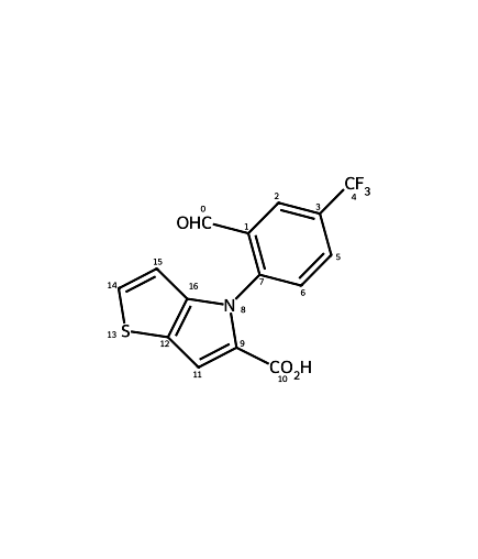 O=Cc1cc(C(F)(F)F)ccc1-n1c(C(=O)O)cc2sccc21